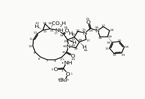 CC(C)(C)OC(=O)N[C@@H]1CCCCC/C=C\[C@H]2C[C@@]2(C(=O)O)NC(=O)[C@@H]2[C@H]3CN(C(=O)N4CC[C@H](c5ccccc5)C4)C[C@H]3CN2C1=O